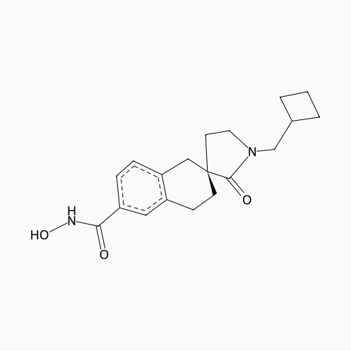 O=C(NO)c1ccc2c(c1)CC[C@]1(CCN(CC3CCC3)C1=O)C2